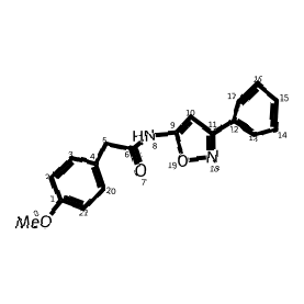 COc1ccc(CC(=O)Nc2cc(-c3ccccc3)no2)cc1